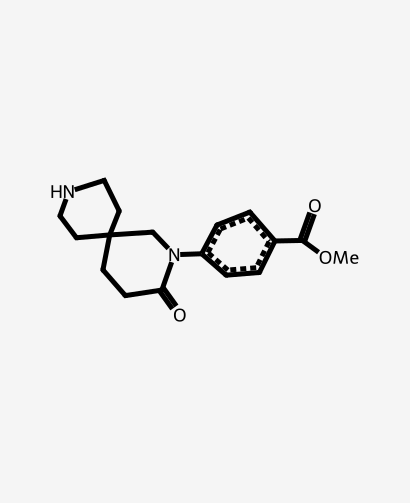 COC(=O)c1ccc(N2CC3(CCNCC3)CCC2=O)cc1